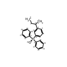 CCC(C)c1cccc(P(=O)(c2ccccc2)c2ccccc2)c1